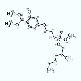 CCOCC(C)COP(=S)(NCCOc1ccc(C(OC)OC)c(Cl)c1)OC